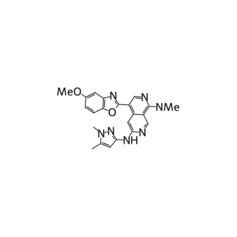 CNc1ncc(-c2nc3cc(OC)ccc3o2)c2cc(Nc3cc(C)n(C)n3)ncc12